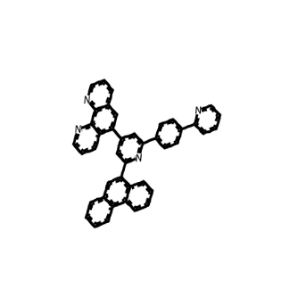 c1ccc(-c2ccc(-c3cc(-c4cc5cccnc5c5ncccc45)cc(-c4cc5ccccc5c5ccccc45)n3)cc2)nc1